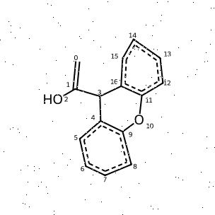 C=C(O)C1c2ccccc2Oc2ccccc21